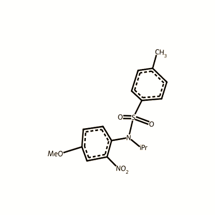 COc1ccc(N(C(C)C)S(=O)(=O)c2ccc(C)cc2)c([N+](=O)[O-])c1